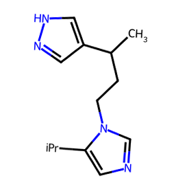 CC(C)c1cncn1CCC(C)c1cn[nH]c1